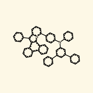 c1ccc(-c2cc(-c3ccccc3)cc(N(c3ccccc3)c3ccc(-c4cccc5c(-c6ccccc6)c6c7ccccc7c7ccccc7c6n45)cc3)c2)cc1